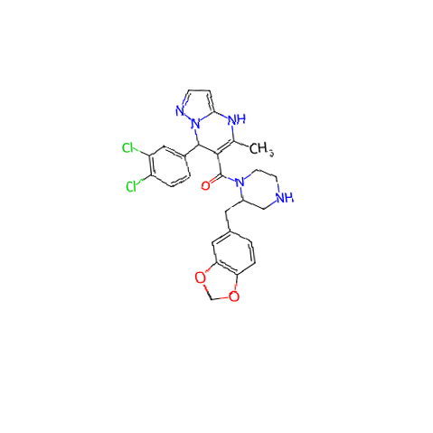 CC1=C(C(=O)N2CCNCC2Cc2ccc3c(c2)OCO3)C(c2ccc(Cl)c(Cl)c2)n2nccc2N1